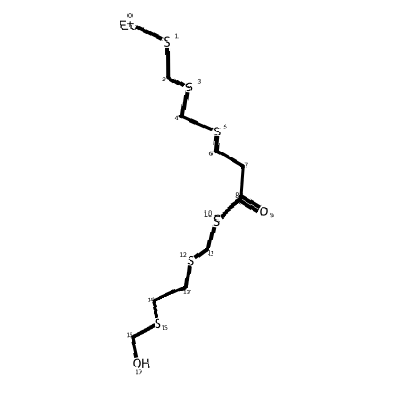 CCSCSCSCCC(=O)SCSCCSCO